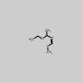 CCOC(C)/N=C\SC